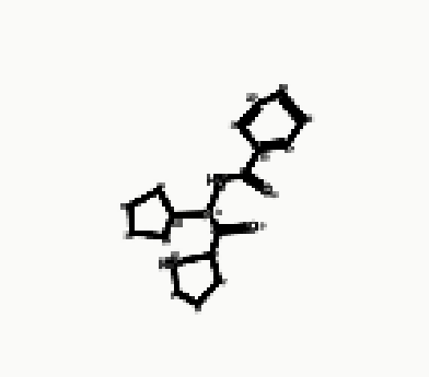 O=C(NN(C(=O)C1CCCN1)C1CCCC1)c1ccccc1